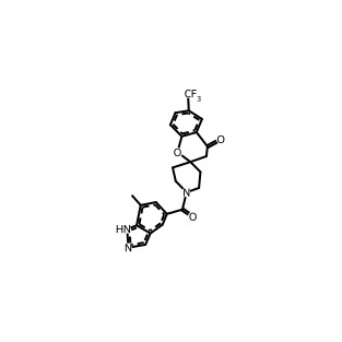 Cc1cc(C(=O)N2CCC3(CC2)CC(=O)c2cc(C(F)(F)F)ccc2O3)cc2cn[nH]c12